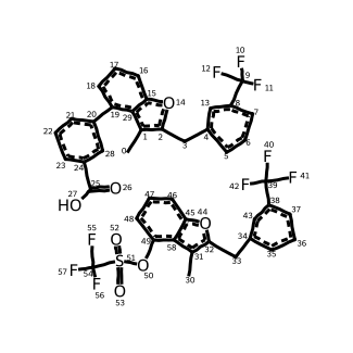 Cc1c(Cc2cccc(C(F)(F)F)c2)oc2cccc(-c3cccc(C(=O)O)c3)c12.Cc1c(Cc2cccc(C(F)(F)F)c2)oc2cccc(OS(=O)(=O)C(F)(F)F)c12